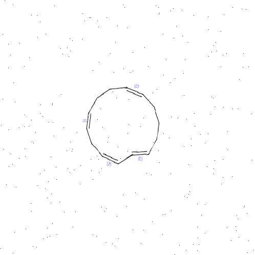 C1=C\C/C=C\CC/C=C\CCC/C=C/1